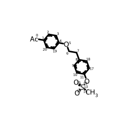 CC(=O)c1ccc(OCCc2ccc(OS(C)(=O)=O)cc2)cc1